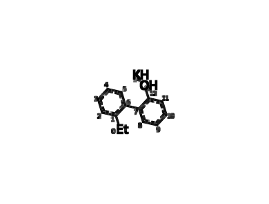 CCc1ccccc1-c1ccccc1O.[KH]